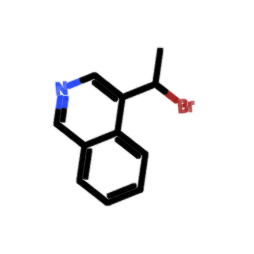 CC(Br)c1cncc2ccccc12